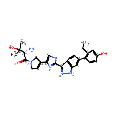 CCc1cc(O)ccc1-c1ccc2c(-c3nc(C4=CCN(C(=O)[C@@H](N)C(C)(C)O)C4)c[nH]3)n[nH]c2c1